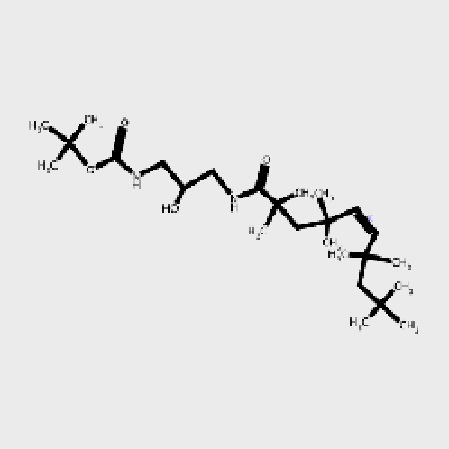 CC(C)(C)CC(C)(C)/C=C\C(C)(C)CC(C)(C)C(=O)NCC(O)CNC(=O)OC(C)(C)C